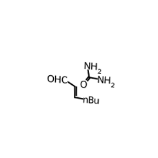 CCCCC=CC=O.NC(N)=O